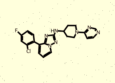 Fc1ccc(-c2cccn3nc(NC4CCN(c5ccncn5)CC4)nc23)c(Cl)c1